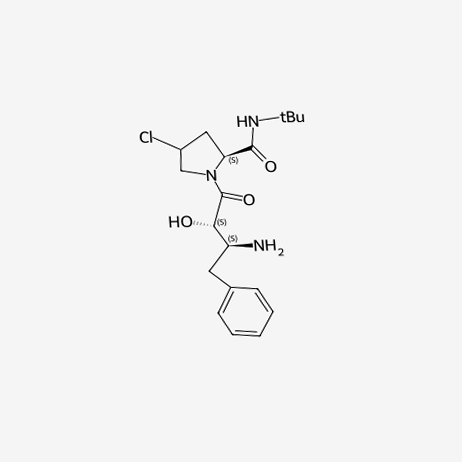 CC(C)(C)NC(=O)[C@@H]1CC(Cl)CN1C(=O)[C@@H](O)[C@@H](N)Cc1ccccc1